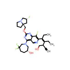 C#CC(CO)/C(CC)=C(/CC)c1ncc2c(N3C[C@H](O)CCC(F)(F)C3)nc(OC[C@@]34CCCN3C[C@H](F)C4)nc2c1F